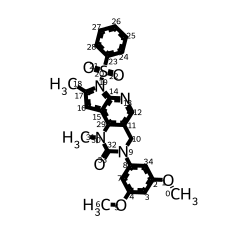 COc1cc(OC)cc(N2Cc3cnc4c(cc(C)n4S(=O)(=O)c4ccccc4)c3N(C)C2=O)c1